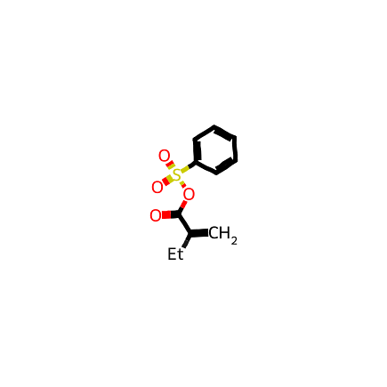 C=C(CC)C(=O)OS(=O)(=O)c1ccccc1